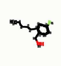 CCCCCc1cc(F)ccc1CO